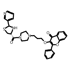 O=C([C@@H]1CSC(c2cccnc2)N1)N1CCN(CCCOc2c(-c3ccccc3)oc3ccccc3c2=O)CC1